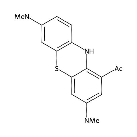 CNc1ccc2c(c1)Sc1cc(NC)cc(C(C)=O)c1N2